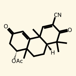 CC(=O)O[C@@H]1CC(=O)C=C2C3(C)C=C(C#N)C(=O)C(C)(C)[C@@H]3CCC21C